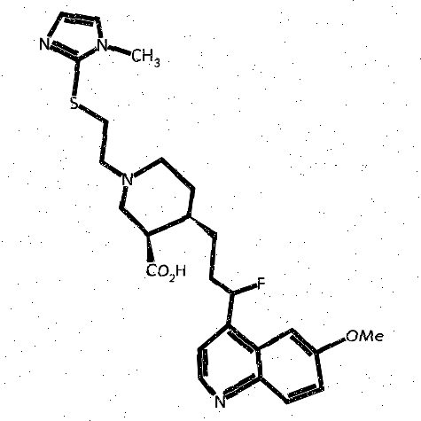 COc1ccc2nccc(C(F)CC[C@@H]3CCN(CCSc4nccn4C)C[C@@H]3C(=O)O)c2c1